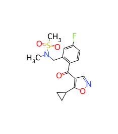 CN(Cc1cc(F)ccc1C(=O)c1cnoc1C1CC1)S(C)(=O)=O